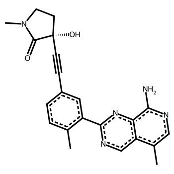 Cc1ccc(C#C[C@]2(O)CCN(C)C2=O)cc1-c1ncc2c(C)cnc(N)c2n1